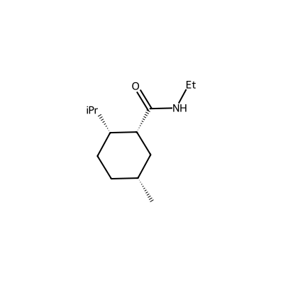 CCNC(=O)[C@@H]1C[C@H](C)CC[C@@H]1C(C)C